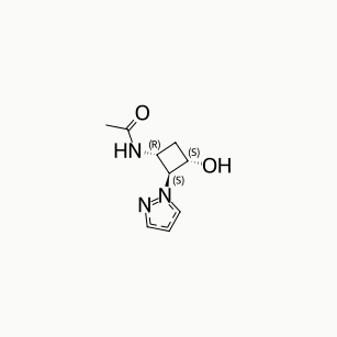 CC(=O)N[C@@H]1C[C@H](O)[C@H]1n1cccn1